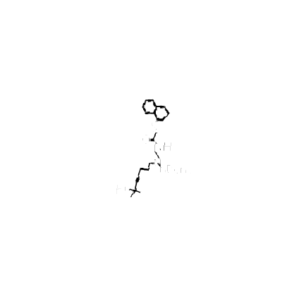 CCCCCN(C/C=C/C#CC(C)(C)CC)CCNC(=O)CSc1cccc2ccccc12